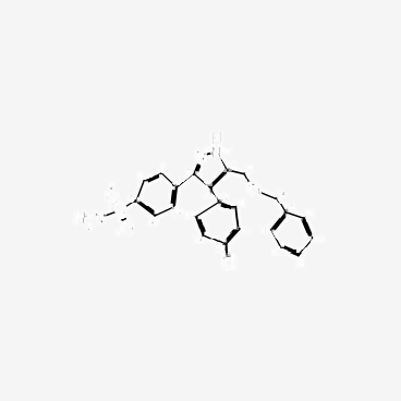 NS(=O)(=O)c1ccc(-c2n[nH]c(COCc3ccccc3)c2-c2ccc(Cl)cc2)cc1